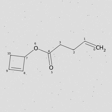 C=CCCC(=O)OC1C=CC1